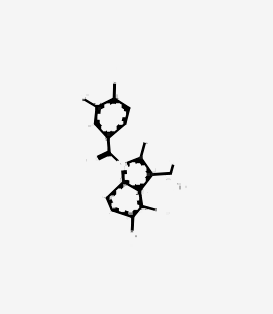 CCC(C)[C@@H](C(=O)O)c1c(C)n(C(=O)c2ccc(Cl)c(Cl)c2)c2ccc(O)c(F)c12